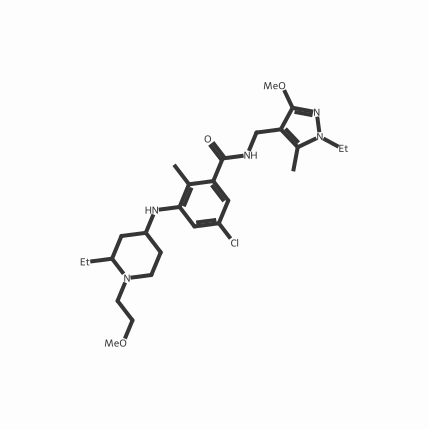 CCC1CC(Nc2cc(Cl)cc(C(=O)NCc3c(OC)nn(CC)c3C)c2C)CCN1CCOC